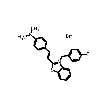 CN(C)c1ccc(/C=C/c2sc3ccccc3[n+]2Cc2ccc(F)cc2)cc1.[Br-]